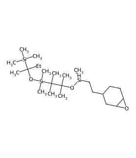 CCC(C)(O[Si](C)(C)C(C)(C)C(C)(C)O[SiH](C)CCC1CCC2OC2C1)[Si](C)(C)C